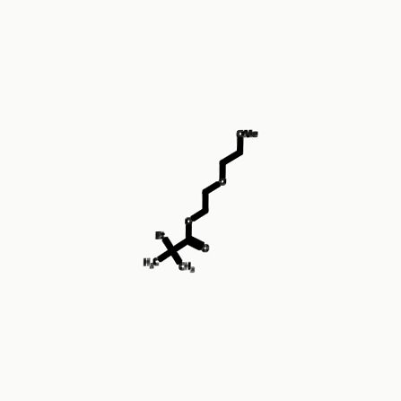 CCC(C)(C)C(=O)OCCOCCOC